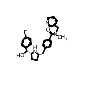 CN(Cc1cccnc1)C(=O)c1ccc(C[C@@H]2CC[C@H](C(O)c3ccc(F)cc3)N2)cc1